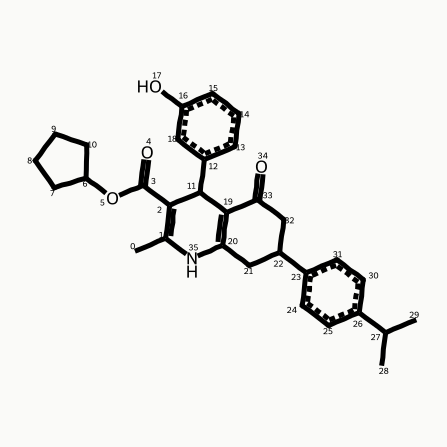 CC1=C(C(=O)OC2CCCC2)C(c2cccc(O)c2)C2=C(CC(c3ccc(C(C)C)cc3)CC2=O)N1